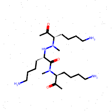 CC(=O)[C@H](CCCCN)N(C)N[C@@H](CCCCN)C(=O)N(C)[C@@H](CCCCN)C(C)=O